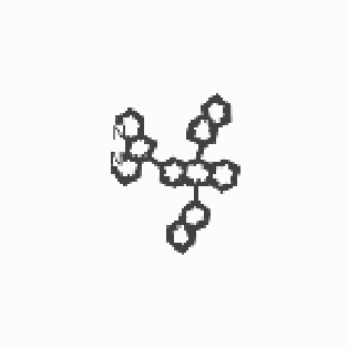 c1ccc2cc(-c3c4ccccc4c(-c4ccc5ccccc5c4)c4cc(-c5cc6cccnc6c6ncccc56)ccc34)ccc2c1